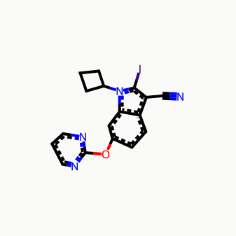 N#Cc1c(I)n(C2CCC2)c2cc(Oc3ncccn3)ccc12